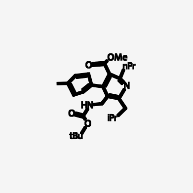 CCCc1nc(CC(C)C)c(CNC(=O)OC(C)(C)C)c(-c2ccc(C)cc2)c1C(=O)OC